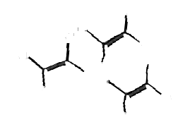 ClC(Cl)=C(Cl)Cl.ClC(Cl)=C(Cl)Cl.ClC(Cl)=C(Cl)Cl